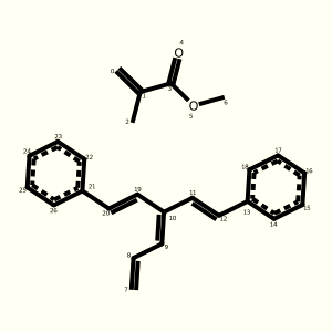 C=C(C)C(=O)OC.C=CC=C(C=Cc1ccccc1)C=Cc1ccccc1